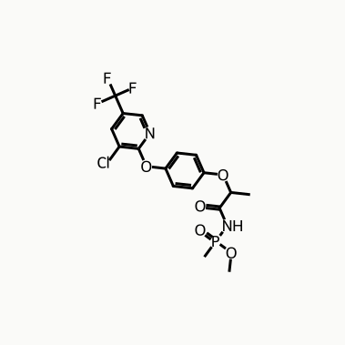 COP(C)(=O)NC(=O)C(C)Oc1ccc(Oc2ncc(C(F)(F)F)cc2Cl)cc1